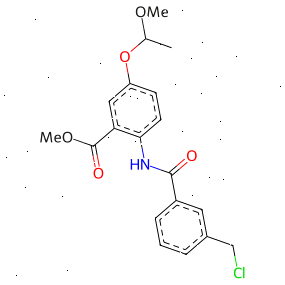 COC(=O)c1cc(OC(C)OC)ccc1NC(=O)c1cccc(CCl)c1